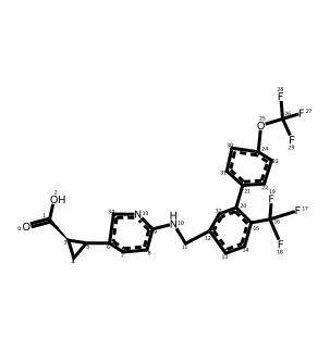 O=C(O)[C@@H]1CC1c1ccc(NCc2ccc(C(F)(F)F)c(-c3ccc(OC(F)(F)F)cc3)c2)nc1